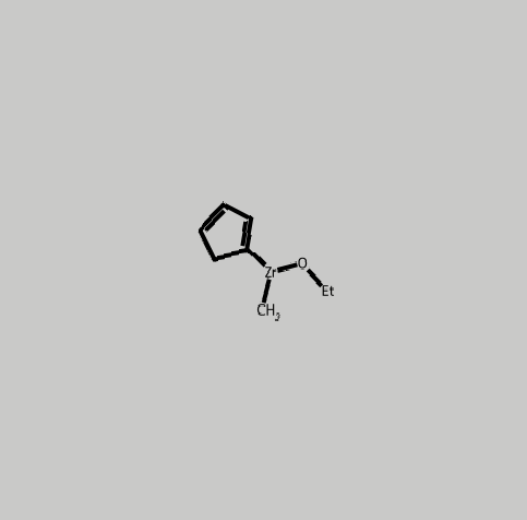 CC[O][Zr]([CH3])[C]1=CC=CC1